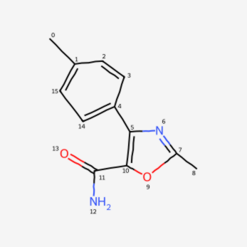 Cc1ccc(-c2nc(C)oc2C(N)=O)cc1